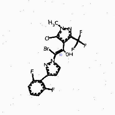 Cn1nc(C(F)(F)F)c(/C(O)=C(\Br)n2ccc(-c3c(F)cccc3F)n2)c1Cl